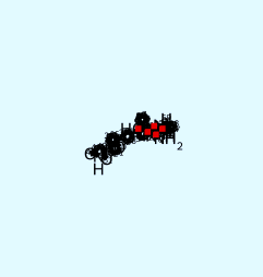 Nc1nnc(-c2ccccc2O)cc1N1C[C@H]2CC[C@@H](C1)N2c1ncc(C2CCN(C3CCC(c4cccc5c4OCCN5[C@H]4CCC(=O)NC4=O)CC3)CC2)cn1